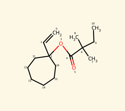 C=CC1(OC(=O)C(C)(C)CC)CCCCCC1